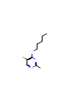 CCCCCNc1nc(C)ncc1Cl